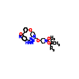 CC(C)(C)OC(=O)N1CCC(OCCN2CCC(Oc3cccc(-c4onc5ccc(-c6nnn[nH]6)cc45)c3)CC2)CC1